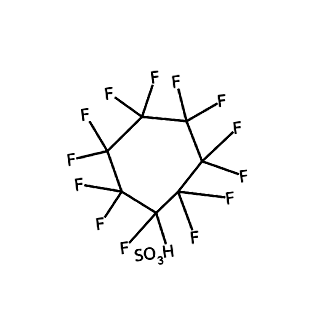 O=S(=O)(O)C1(F)C(F)(F)C(F)(F)C(F)(F)C(F)(F)C(F)(F)C1(F)F